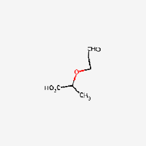 CC(OCC=O)C(=O)O